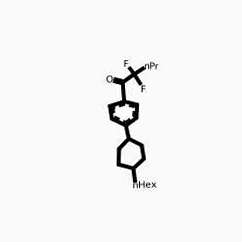 CCCCCCC1CCC(c2ccc(C(=O)C(F)(F)CCC)cc2)CC1